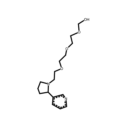 OCOCCOCCOCCN1CCCC1c1cccnc1